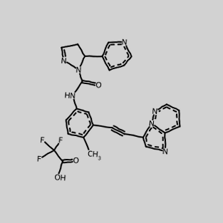 Cc1ccc(NC(=O)N2N=CCC2c2cccnc2)cc1C#Cc1cnc2cccnn12.O=C(O)C(F)(F)F